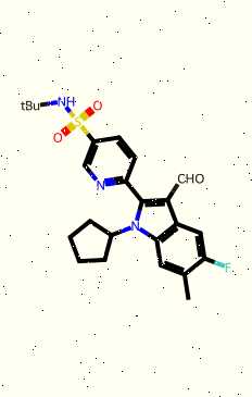 Cc1cc2c(cc1F)c(C=O)c(-c1ccc(S(=O)(=O)NC(C)(C)C)cn1)n2C1CCCC1